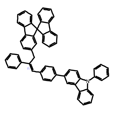 C(=C(/Cc1ccc2c(c1)C1(c3ccccc3-c3ccccc31)c1ccccc1-2)c1ccccc1)/c1ccc(-c2ccc3c(c2)c2ccccc2n3-c2ccccc2)cc1